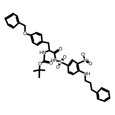 CC(C)(C)OC(=O)NC(Cc1ccc(OCc2ccccc2)cc1)C(=O)NS(=O)(=O)c1ccc(NCCCc2ccccc2)c([N+](=O)[O-])c1